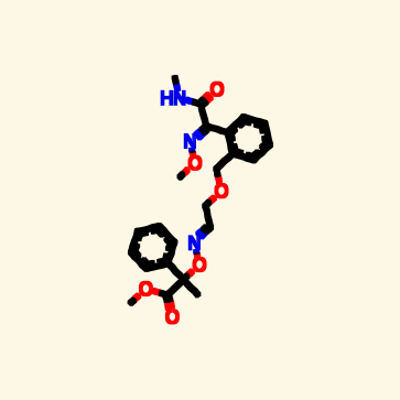 CNC(=O)/C(=N/OC)c1ccccc1COC/C=N/OC(C)(C(=O)OC)c1ccccc1